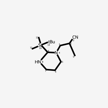 CC(C#N)CN1CCCNC1[Si](C)(C)C(C)(C)C